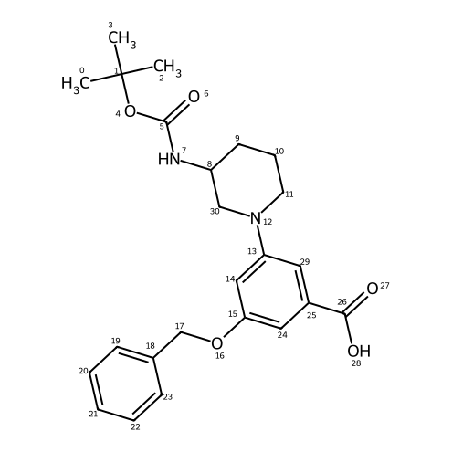 CC(C)(C)OC(=O)NC1CCCN(c2cc(OCc3ccccc3)cc(C(=O)O)c2)C1